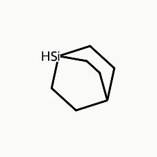 C1C[SiH]2CCC1CC2